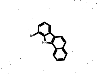 Brc1cccc2c1[nH]c1c3ccccc3ccc21